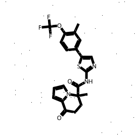 Cc1cc(-c2cnc(NC(=O)C3(C)CCC(=O)c4cccn43)s2)ccc1OC(F)(F)F